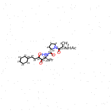 CC(=O)N[C@@H](C)C(=O)N1CCC[C@H]1C(=O)N[C@H](C(=O)C(=O)CCC1CCCCC1)C(C)C